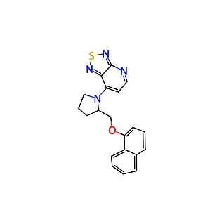 c1ccc2c(OCC3CCCN3c3ccnc4nsnc34)cccc2c1